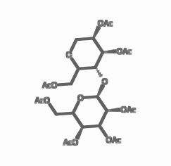 CC(=O)OCC1O[C@@H](O[C@@H]2C(COC(C)=O)OC[C@@H](OC(C)=O)[C@H]2OC(C)=O)[C@@H](OC(C)=O)C(OC(C)=O)[C@H]1OC(C)=O